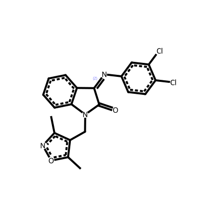 Cc1noc(C)c1CN1C(=O)/C(=N\c2ccc(Cl)c(Cl)c2)c2ccccc21